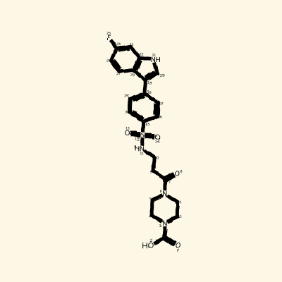 O=C(O)N1CCN(C(=O)CCNS(=O)(=O)c2ccc(-c3c[nH]c4cc(F)ccc34)cc2)CC1